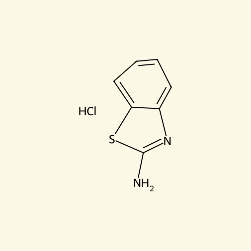 Cl.Nc1nc2ccccc2s1